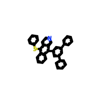 c1ccc(Sc2c3ccccc3c(-c3cc(-c4ccccc4)cc(-c4ccccc4)c3)c3cnccc23)cc1